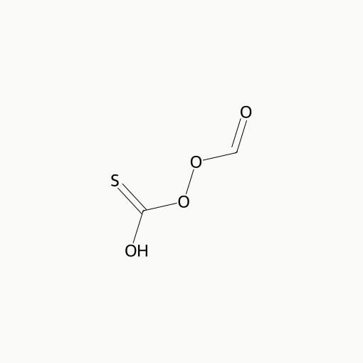 O=COOC(O)=S